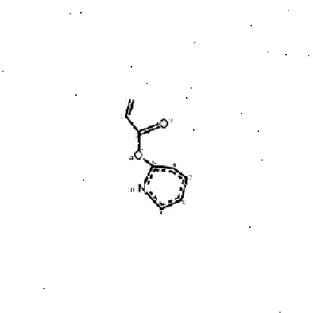 C=CC(=O)Oc1ccccn1